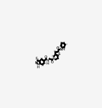 O=C(NCC(=O)N1CCc2sc(C(=O)Nc3ccccc3)cc2C1)c1ccc2[nH]nc(F)c2c1